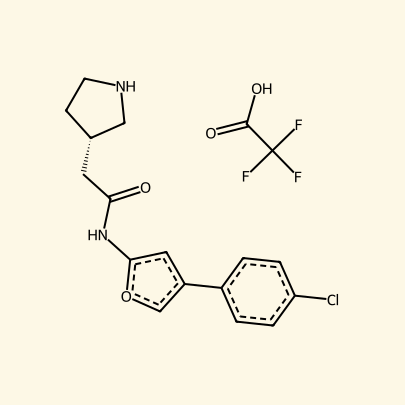 O=C(C[C@@H]1CCNC1)Nc1cc(-c2ccc(Cl)cc2)co1.O=C(O)C(F)(F)F